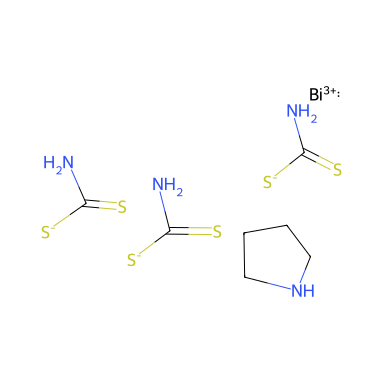 C1CCNC1.NC(=S)[S-].NC(=S)[S-].NC(=S)[S-].[Bi+3]